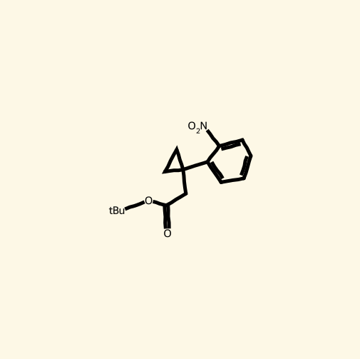 CC(C)(C)OC(=O)CC1(c2ccccc2[N+](=O)[O-])CC1